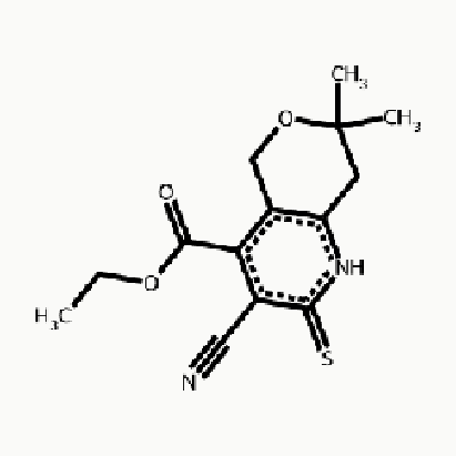 CCOC(=O)c1c2c([nH]c(=S)c1C#N)CC(C)(C)OC2